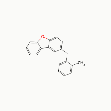 Cc1ccccc1Cc1ccc2oc3ccccc3c2c1